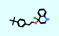 CC(C)(C)c1ccc(CCOC2(Cl)C=CNc3ccccc32)cc1